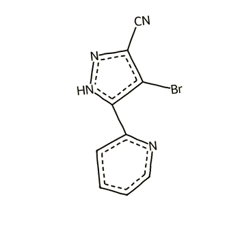 N#Cc1n[nH]c(-c2ccccn2)c1Br